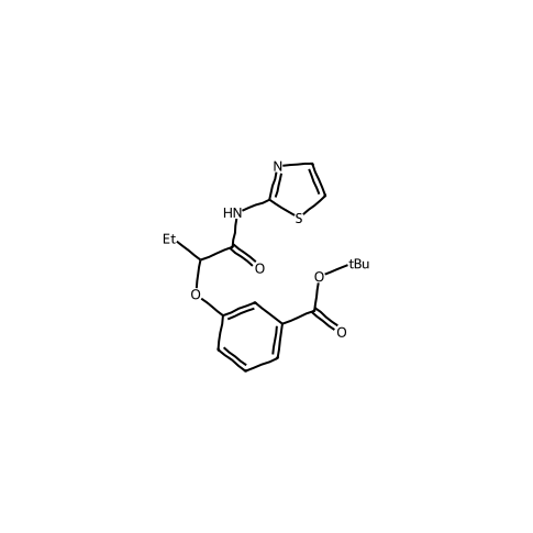 CCC(Oc1cccc(C(=O)OC(C)(C)C)c1)C(=O)Nc1nccs1